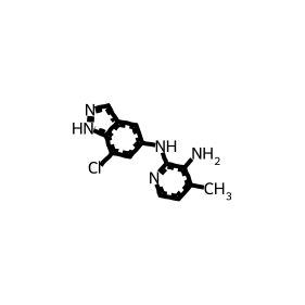 Cc1ccnc(Nc2cc(Cl)c3[nH]ncc3c2)c1N